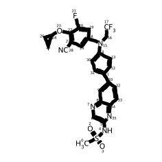 CS(=O)(=O)Nc1cnc2cc(-c3ccc(N(CC(F)(F)F)c4cc(F)c(OC5CC5)c(C#N)c4)cc3)ccc2n1